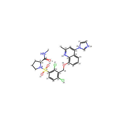 CNC(=O)[C@@H]1CCCN1S(=O)(=O)c1ccc(Cl)c(COc2cccc3c(-n4ccnc4)cc(C)nc23)c1Cl